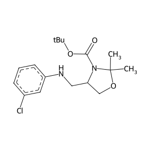 CC(C)(C)OC(=O)N1C(CNc2cccc(Cl)c2)COC1(C)C